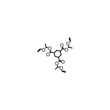 C=COC(C)OC(=O)C1CC(C(=O)OC(C)OC=C)CC(C(=O)OC(C)OC=C)C1